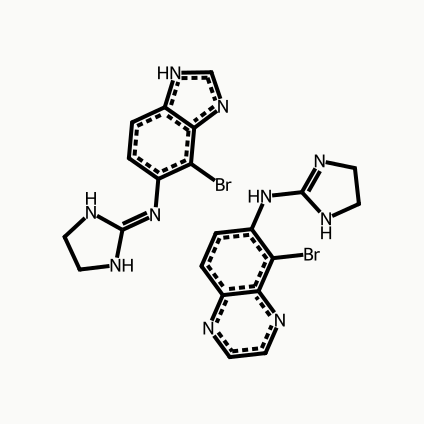 Brc1c(N=C2NCCN2)ccc2[nH]cnc12.Brc1c(NC2=NCCN2)ccc2nccnc12